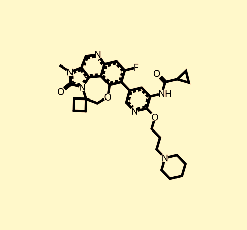 Cn1c(=O)n2c3c4c(c(-c5cnc(OCCCN6CCCCC6)c(NC(=O)C6CC6)c5)c(F)cc4ncc31)OCC21CCC1